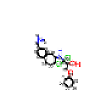 CN(C)Cc1ccc2c(c1)CC(NC(Cl)(Cl)[C@@H](O)COc1ccccc1)CCC2